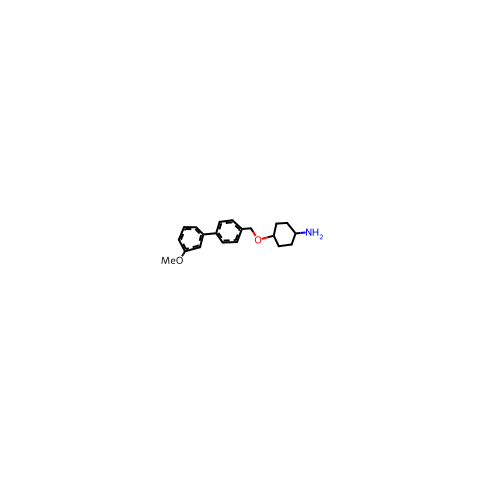 COc1cccc(-c2ccc(COC3CCC(N)CC3)cc2)c1